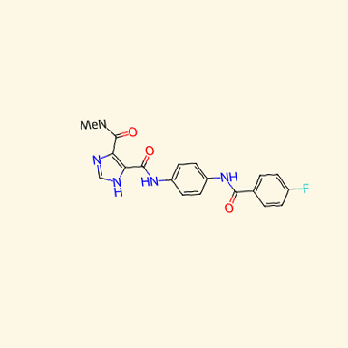 CNC(=O)c1nc[nH]c1C(=O)Nc1ccc(NC(=O)c2ccc(F)cc2)cc1